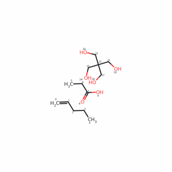 C=CCCC.CCC(=O)O.OCC(CO)(CO)CO